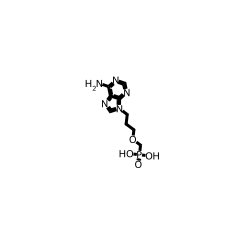 Nc1ncnc2c1ncn2CCCOCP(=O)(O)O